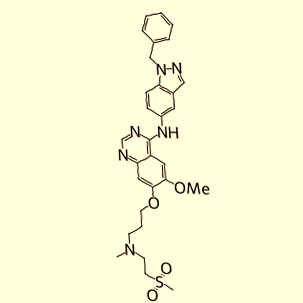 COc1cc2c(Nc3ccc4c(cnn4Cc4ccccc4)c3)ncnc2cc1OCCCN(C)CCS(C)(=O)=O